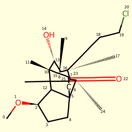 CO[C@@H]1CCC23CC[C@@H](C)[C@](C)(C12)[C@H](O)C[C@@](C)(CCCl)C(=O)[C@@H]3C